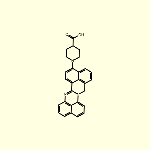 O=C(O)C1CCN(c2ccc3c4c(cccc24)CN2C3=Nc3cccc4cccc2c34)CC1